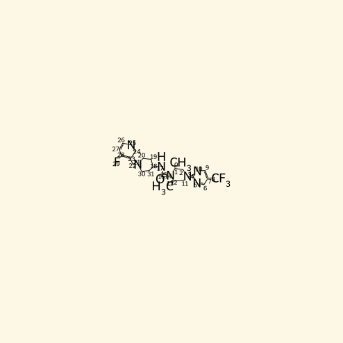 C[C@@H]1CN(c2ncc(C(F)(F)F)cn2)C[C@H](C)N1C(=O)NC1CCN(Cc2cnccc2F)CC1